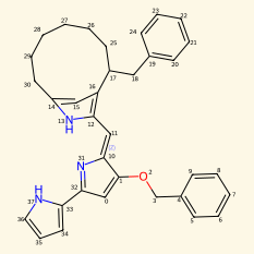 C1=C(OCc2ccccc2)/C(=C/c2[nH]c3cc2C(Cc2ccccc2)CCCCCC3)N=C1c1ccc[nH]1